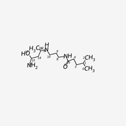 CC(C)CCC(=O)NCCCNC(C)CC(N)O